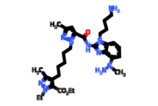 CCOC(=O)c1c(CCCCCn2nc(C)cc2C(=O)Nc2nc3c(N(C)N)cccc3n2CCCCN)c(C)nn1CC